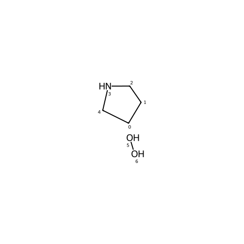 C1CCNC1.OO